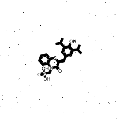 CC(C)c1cc(/C=C2\Sc3ccccc3N(CP(=O)(O)O)C2=O)cc(C(C)C)c1O